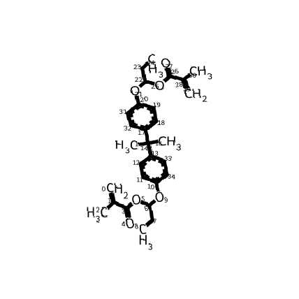 C=C(C)C(=O)OC(CC)Oc1ccc(C(C)(C)c2ccc(OC(CC)OC(=O)C(=C)C)cc2)cc1